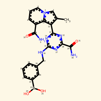 Cc1cn2cccc(C(N)=O)c2c1-c1nc(NCc2cccc(B(O)O)c2)nc(C(N)=O)n1